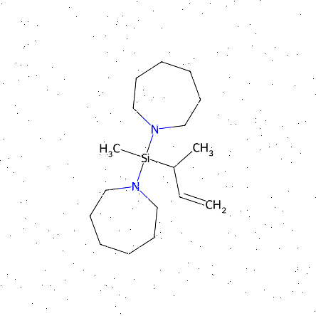 C=CC(C)[Si](C)(N1CCCCCC1)N1CCCCCC1